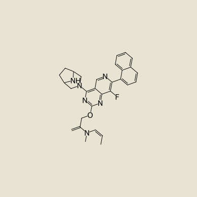 C=C(COc1nc(N2CC3CCC(C2)N3)c2cnc(-c3cccc4ccccc34)c(F)c2n1)N(C)/C=C\C